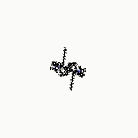 [C-]#[N+]/C(C#N)=C1\C(=C\c2cc(CCCCCCCCCCCC)c(-c3cc4c(-c5ccc(CC(CC)CCCC)s5)c5sc(-c6sc(/C=C7\C(=O)c8ccccc8\C7=C(\C#N)[N+]#[C-])cc6CCCCCCCCCCCC)cc5c(-c5ccc(CC(CC)CCCC)s5)c4s3)s2)C(=O)c2ccccc21